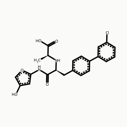 C[C@H](N[C@@H](Cc1ccc(-c2cccc(Cl)c2)cc1)C(=O)Nc1cc(O)co1)C(=O)O